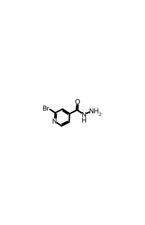 NNC(=O)c1ccnc(Br)c1